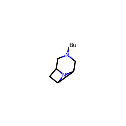 CCC(C)N1CC2CC3C(C1)N23